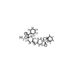 CC1(C(=O)c2ccccc2)C=CC(SC2=CCC(C)(C(=O)c3ccccc3)C=C2)=CC1